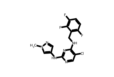 Cn1cc(Nc2ncc(Cl)c(NCc3c(F)ccc(F)c3F)n2)cn1